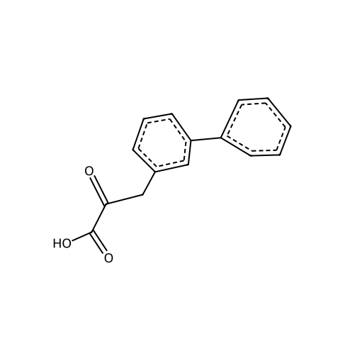 O=C(O)C(=O)Cc1cccc(-c2ccccc2)c1